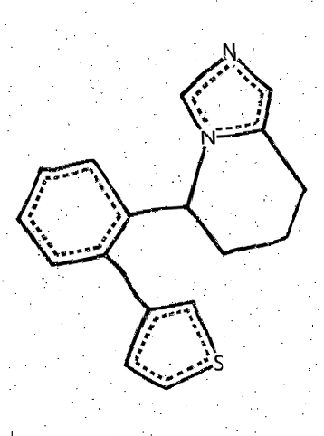 c1ccc(C2CCCc3cncn32)c(-c2ccsc2)c1